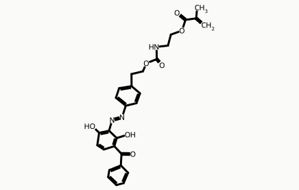 C=C(C)C(=O)OCCNC(=O)OCCc1ccc(N=Nc2c(O)ccc(C(=O)c3ccccc3)c2O)cc1